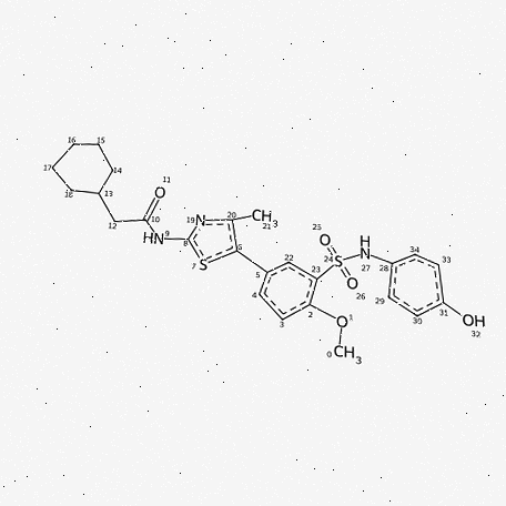 COc1ccc(-c2sc(NC(=O)CC3CCCCC3)nc2C)cc1S(=O)(=O)Nc1ccc(O)cc1